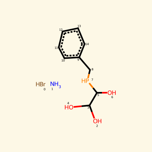 Br.N.OC(O)C(O)PCc1ccccc1